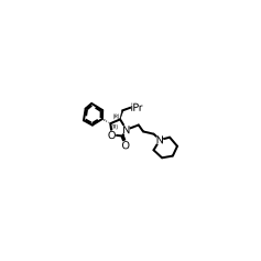 CC(C)C[C@@H]1[C@@H](c2ccccc2)OC(=O)N1CCCN1CCCCC1